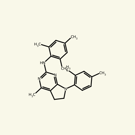 Cc1ccc(N2CCc3c(C)nc(Nc4c(C)cc(C)cc4C)nc32)c(C)c1